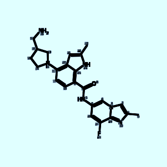 Cc1cn2cc(NC(=O)c3ccc(N4CCC(CN)C4)c4cc(C)[nH]c34)cc(F)c2n1